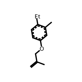 C=C(C)COc1ccc(CC)c(C)c1